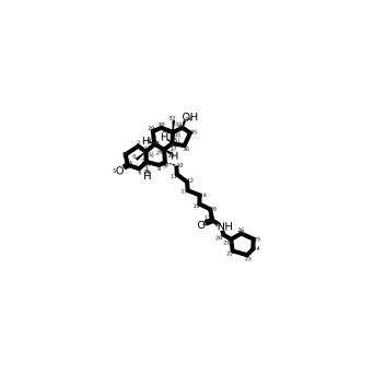 C[C@]12CCC(=O)C[C@@H]1C[C@@H](CCCCCCCC(=O)NCC1CCCCC1)[C@@H]1[C@@H]2CC[C@]2(C)[C@@H](O)CC[C@@H]12